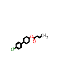 C=CCC(=O)OC1CCC(c2ccc(Cl)cc2)CC1